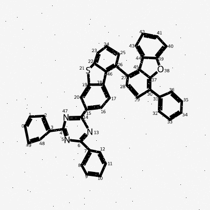 c1ccc(-c2nc(-c3ccccc3)nc(-c3ccc4c(c3)sc3cccc(-c5ccc(-c6ccccc6)c6oc7ccccc7c56)c34)n2)cc1